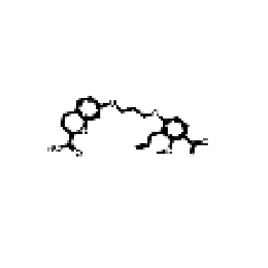 C=CCc1c(OCCCOc2ccc3c(c2)OC(C(=O)O)CC3)ccc(C(C)=O)c1OC